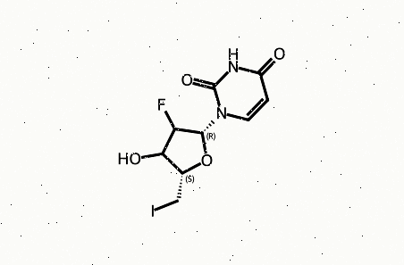 O=c1ccn([C@@H]2O[C@H](CI)C(O)C2F)c(=O)[nH]1